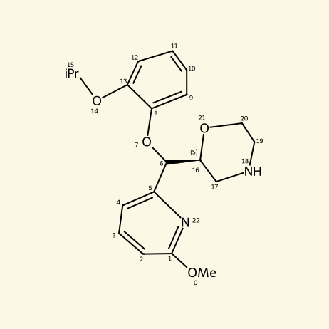 COc1cccc(C(Oc2ccccc2OC(C)C)[C@@H]2CNCCO2)n1